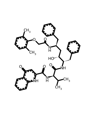 Cc1cccc(C)c1OCC(=O)N[C@@H](Cc1ccccc1)C[C@@H](O)[C@H](Cc1ccccc1)NC(=O)[C@H](NC(=O)c1cc(=O)c2ccccc2[nH]1)C(C)C